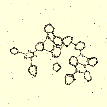 c1ccc(-c2cc(-c3cccc(-c4cccc(N5c6ccccc6B6c7ccccc7N(c7ccccc7)c7cccc5c76)c4)c3)nc(-c3cc(-c4nc(-c5ccccc5)nc(-c5ccccc5)n4)ccc3-n3c4ccccc4c4ccccc43)n2)cc1